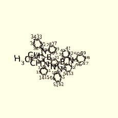 CC(C)(C)c1cc2c3c(c1)N(c1ccccc1)c1nc4c(cc1B3c1ccccc1N2c1ccccc1)B1c2ccccc2N(c2ccccc2)c2cccc(c21)N4c1ccccc1